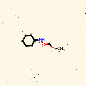 COCONC1CCCCC1